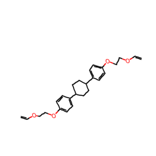 C=COCCOc1ccc(C2CCC(c3ccc(OCCOC=C)cc3)CC2)cc1